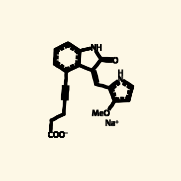 COc1cc[nH]c1/C=C1\C(=O)Nc2cccc(C#CCCC(=O)[O-])c21.[Na+]